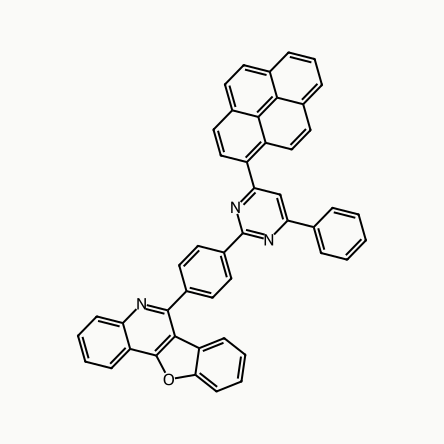 c1ccc(-c2cc(-c3ccc4ccc5cccc6ccc3c4c56)nc(-c3ccc(-c4nc5ccccc5c5oc6ccccc6c45)cc3)n2)cc1